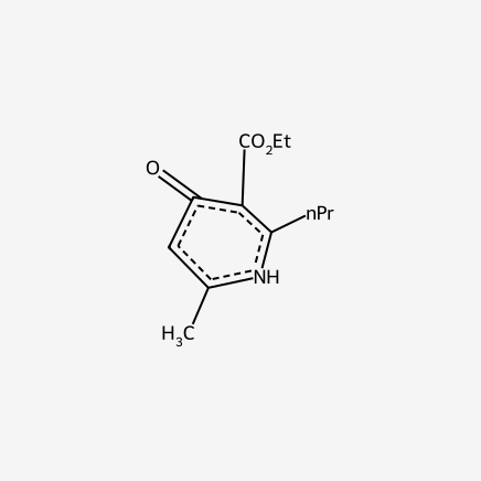 CCCc1[nH]c(C)cc(=O)c1C(=O)OCC